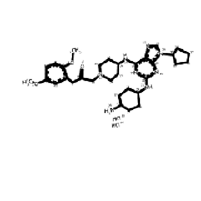 COc1ccc(OC)c(CC(=O)CN2CCC(Nc3nc(NC4CCC(N)CC4)nc4c3ncn4C3CCCC3)CC2)c1.Cl.Cl